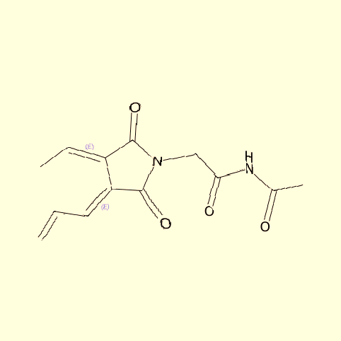 C=C/C=C1/C(=O)N(CC(=O)NC(C)=O)C(=O)/C1=C/C